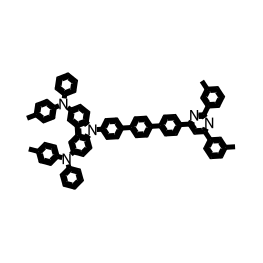 Cc1ccc(N(c2ccccc2)c2ccc3c(c2)c2cc(N(c4ccccc4)c4ccc(C)cc4)ccc2n3-c2ccc(-c3ccc(-c4ccc(-c5cc(-c6cccc(C)c6)nc(-c6cccc(C)c6)n5)cc4)cc3)cc2)cc1